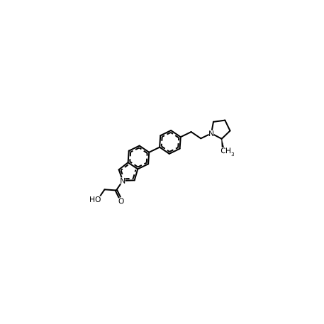 C[C@@H]1CCCN1CCc1ccc(-c2ccc3cn(C(=O)CO)cc3c2)cc1